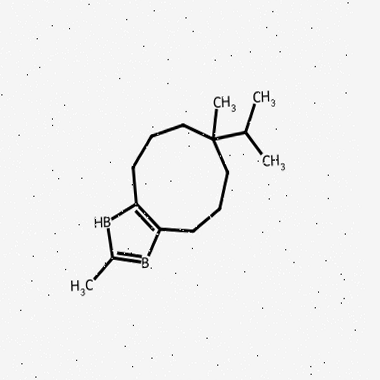 CC1=BC2=C(B1)CCCC(C)(C(C)C)CCC2